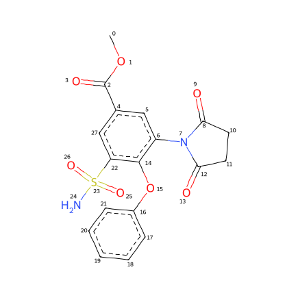 COC(=O)c1cc(N2C(=O)CCC2=O)c(Oc2ccccc2)c(S(N)(=O)=O)c1